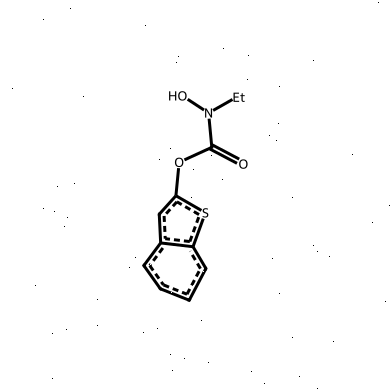 CCN(O)C(=O)Oc1cc2ccccc2s1